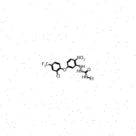 CCNC(=O)NNc1cc(Oc2ccc(C(F)(F)F)cc2Cl)ccc1[N+](=O)[O-]